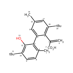 C=C(C(=O)O)c1c(-c2c(C)ccc(C(C)(C)C)c2O)cc(C)cc1C(C)(C)C